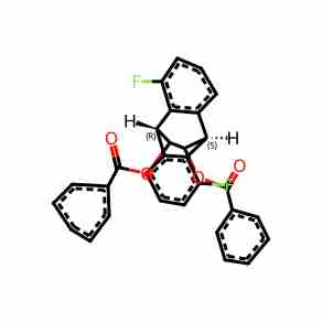 O=C(OC1C(OC(=O)c2ccccc2)[C@H]2c3cccc(F)c3[C@H]1c1cccc(F)c12)c1ccccc1